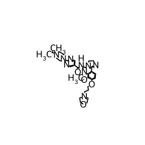 COc1c(OCCCN2CCOCC2)ccc2c1N=C(NC(=O)c1cnc(N3CCN(C(C)C)CC3)nc1)N1CCN=C21